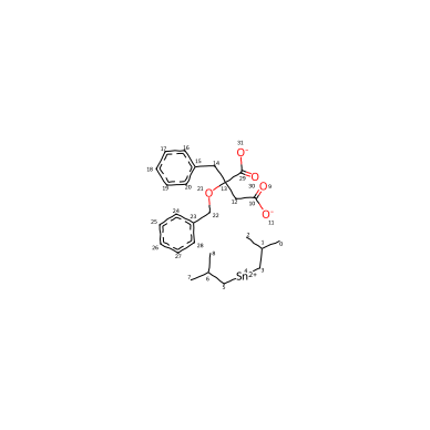 CC(C)[CH2][Sn+2][CH2]C(C)C.O=C([O-])CC(Cc1ccccc1)(OCc1ccccc1)C(=O)[O-]